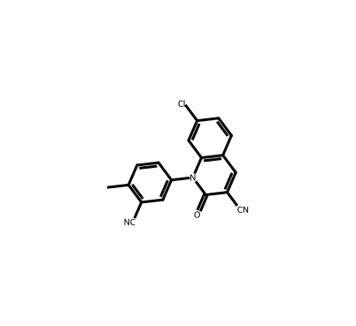 Cc1ccc(-n2c(=O)c(C#N)cc3ccc(Cl)cc32)cc1C#N